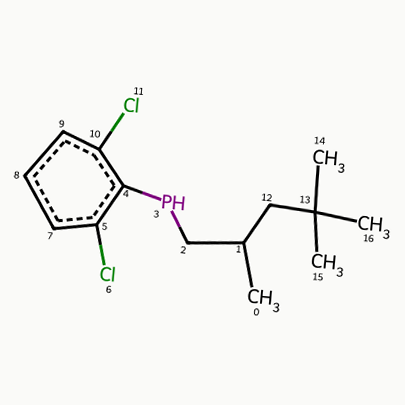 CC(CPc1c(Cl)cccc1Cl)CC(C)(C)C